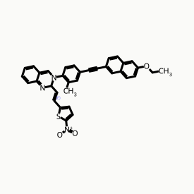 CCOc1ccc2cc(C#Cc3ccc(N4C=c5ccccc5=NC4/C=C/c4ccc([N+](=O)[O-])s4)c(C)c3)ccc2c1